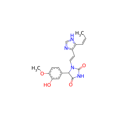 C/C=C\c1[nH]cnc1/C=C/N1C(=O)NC(=O)C1c1ccc(OC)c(O)c1